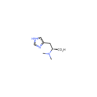 CN(C)[C@@H](Cc1c[nH]cn1)C(=O)O